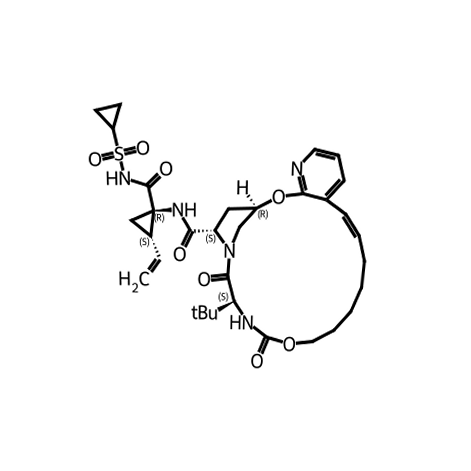 C=C[C@@H]1C[C@]1(NC(=O)[C@@H]1C[C@@H]2CN1C(=O)[C@H](C(C)(C)C)NC(=O)OCCCCCC=Cc1cccnc1O2)C(=O)NS(=O)(=O)C1CC1